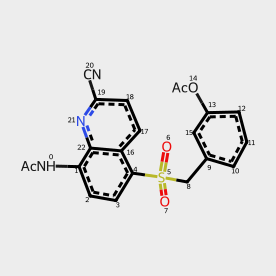 CC(=O)Nc1ccc(S(=O)(=O)Cc2cccc(OC(C)=O)c2)c2ccc(C#N)nc12